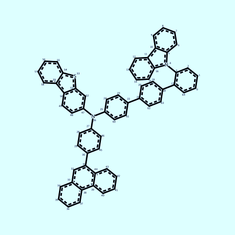 c1ccc(-n2c3ccccc3c3ccccc32)c(-c2ccc(-c3ccc(N(c4ccc(-c5cc6ccccc6c6ccccc56)cc4)c4ccc5c(c4)sc4ccccc45)cc3)cc2)c1